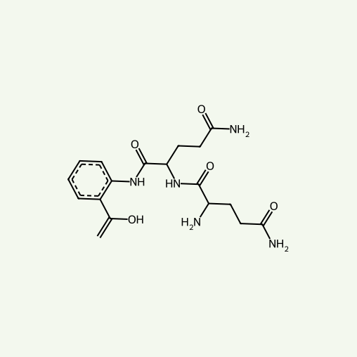 C=C(O)c1ccccc1NC(=O)C(CCC(N)=O)NC(=O)C(N)CCC(N)=O